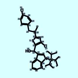 CC(C)[Si](C(C)C)(C(C)C)n1cc(C(O)c2sc(N(C)Cc3ccc(Cl)cc3)nc2Cl)c2cccnc21